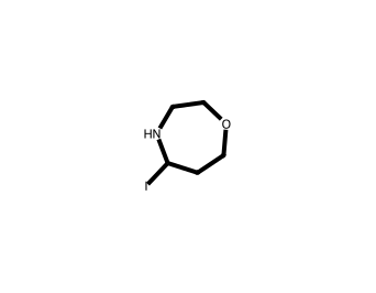 IC1CCOCCN1